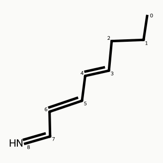 CCCC=CC=CC=N